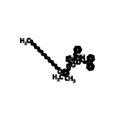 CCCCCCCCCCCCCCCCCCOc1cc(COC(=O)C2CCCN2C(=O)C(Cc2ccccc2)NC(=O)OCC2c3ccccc3-c3ccccc32)cc(C)c1C